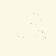 [CH2][C@@H]1CCC(c2ccccc2)=C(c2ccccc2)C1